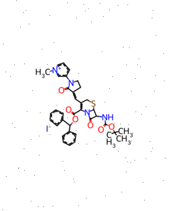 C[n+]1cccc(N2CCC(=CC3=C(C(=O)OC(c4ccccc4)c4ccccc4)N4C(=O)C(NC(=O)OC(C)(C)C)C4SC3)C2=O)c1.[I-]